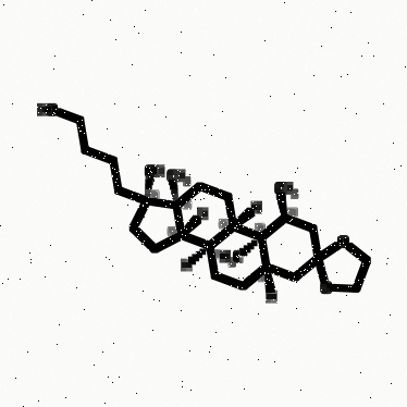 C[C@H]1CC2(C[C@@H]3CC[C@@H]4[C@H](CC[C@@]5(C)[C@H]4CC[C@@]5(O)CCCCO)[C@]31C)OCCO2